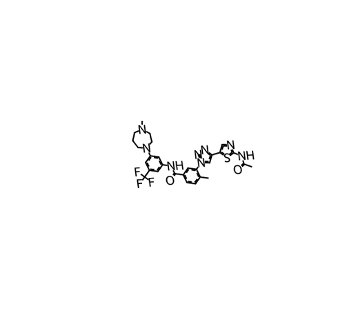 CC(=O)Nc1ncc(-c2cn(-c3cc(C(=O)Nc4cc(N5CCCN(C)CC5)cc(C(F)(F)F)c4)ccc3C)nn2)s1